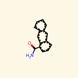 NC(=O)c1cccc2cc3ccc[c]c3cc12